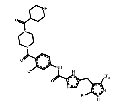 CCc1[nH]nc(C(F)(F)F)c1Cc1cnc(C(=O)Nc2ccc(C(=O)N3CCN(C(=O)C4CCNCC4)CC3)c(Cl)c2)[nH]1